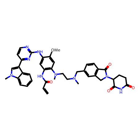 C=CC(=O)Nc1cc(Nc2nccc(-c3cn(C)c4ccccc34)n2)c(OC)cc1N(C)CCN(C)Cc1ccc2c(c1)CN(C1CCC(=O)NC1=O)C2=O